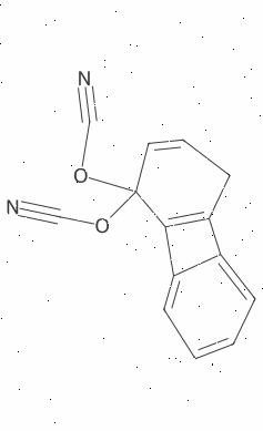 N#COC1(OC#N)C=CCC2=C1c1ccccc12